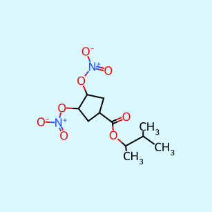 CC(C)C(C)OC(=O)C1CC(O[N+](=O)[O-])C(O[N+](=O)[O-])C1